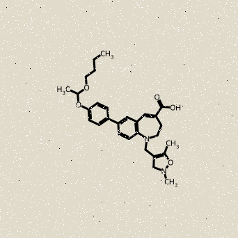 CCCCOC(C)Oc1ccc(-c2ccc3c(c2)C=C(C(=O)O)CCN3CC2=C(C)ON(C)C2)cc1